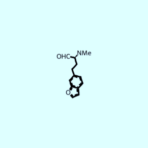 CN[C@H](C=O)CCc1ccc2ccoc2c1